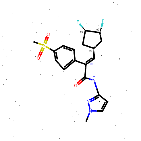 Cn1ccc(NC(=O)/C(=C/[C@H]2C[C@@H](F)[C@@H](F)C2)c2ccc(S(C)(=O)=O)cc2)n1